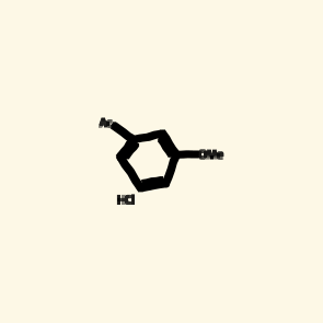 COc1cccc(C(C)=O)c1.Cl